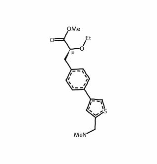 CCO[C@@H](Cc1ccc(-c2csc(CNC)c2)cc1)C(=O)OC